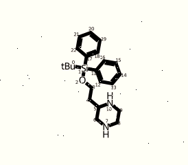 CC(C)(C)[Si](OCCC1CNCCN1)(c1ccccc1)c1ccccc1